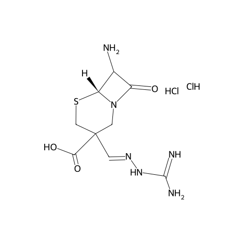 Cl.Cl.N=C(N)NN=CC1(C(=O)O)CS[C@@H]2C(N)C(=O)N2C1